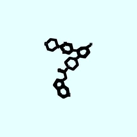 O=C(Cn1ccc2ccncc21)N1CCN(c2ccc(F)cc2-c2cnc(N3CCOCC3)nc2)CC1